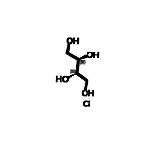 OC[C@@H](O)[C@@H](O)CO.[C]